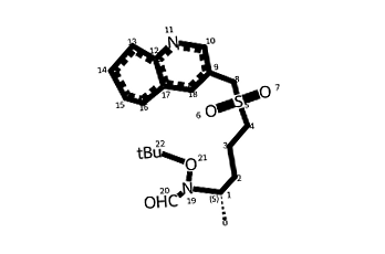 C[C@@H](CCCS(=O)(=O)Cc1cnc2ccccc2c1)N(C=O)OC(C)(C)C